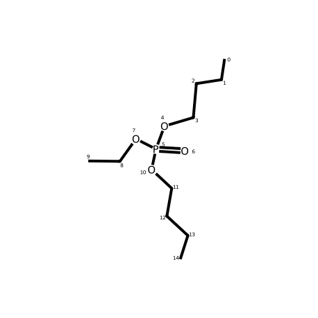 CCCCOP(=O)(OCC)OCCCC